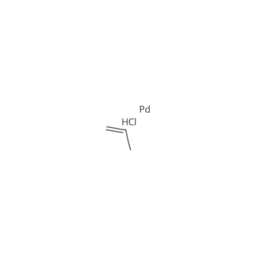 C=CC.Cl.[Pd]